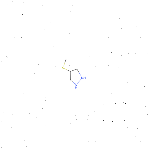 CSC1CNNC1